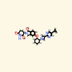 O=C1CC[C@@H](N2Cc3cc(O[C@@H]4CCCC[C@H]4N4CC(c5ncc(C6CC6)cn5)C4)ccc3C2=O)C(=O)N1